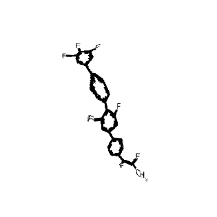 C/C(F)=C(\F)c1ccc(-c2cc(F)c(-c3ccc(-c4cc(F)c(F)c(F)c4)cc3)c(F)c2)cc1